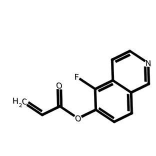 C=CC(=O)Oc1ccc2cnccc2c1F